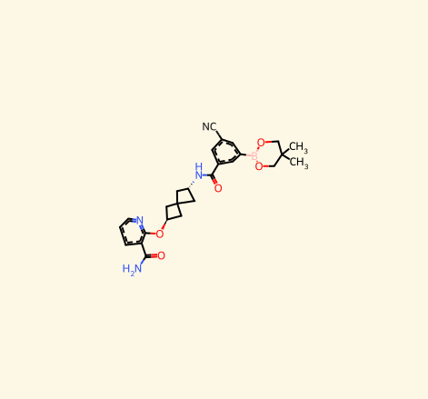 CC1(C)COB(c2cc(C#N)cc(C(=O)N[C@H]3CC4(C3)C[C@H](Oc3ncccc3C(N)=O)C4)c2)OC1